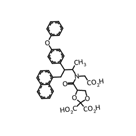 CC(C(Cc1cccc2ccccc12)c1ccc(Oc2ccccc2)cc1)N(CC(=O)O)C(=O)C1COC(C(=O)O)(C(=O)O)O1